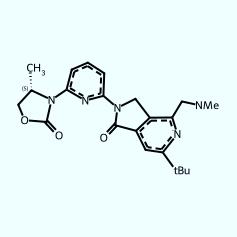 CNCc1nc(C(C)(C)C)cc2c1CN(c1cccc(N3C(=O)OC[C@@H]3C)n1)C2=O